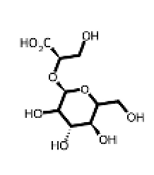 O=C(O)[C@@H](CO)O[C@H]1OC(CO)[C@@H](O)[C@H](O)C1O